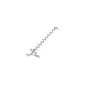 CCCCCCCCCCCCCCCCCC[SiH2]C(OCC)OCC